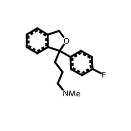 CNCCCC1(c2ccc(F)cc2)OCc2ccccc21